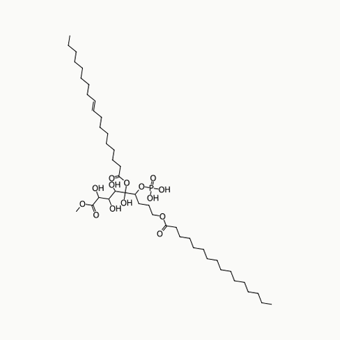 CCCCCCCCC=CCCCCCCCC(=O)OC(O)(C(CCCOC(=O)CCCCCCCCCCCCCCC)OP(=O)(O)O)C(O)C(O)C(O)C(=O)OC